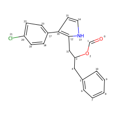 O=COC(Cc1ccccc1)Cc1[nH]ccc1-c1ccc(Cl)cc1